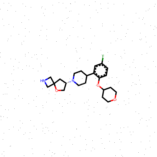 Fc1ccc(OC2CCOCC2)c(C2CCN([C@@H]3COC4(CNC4)C3)CC2)c1